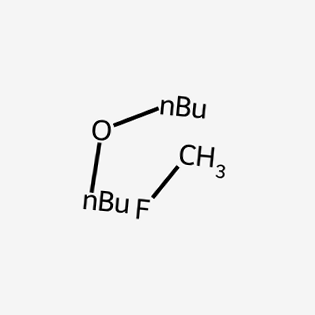 CCCCOCCCC.CF